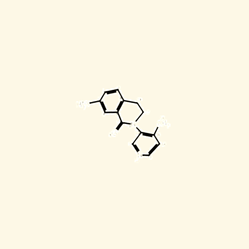 Cc1ccc2c(c1)C(=O)N(c1cnccc1C)CC2